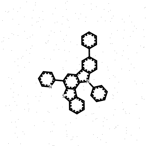 c1ccc(-c2ccc3c(c2)c2cc(-c4ccccn4)c4sc5ccccc5c4c2n3-c2ccccc2)cc1